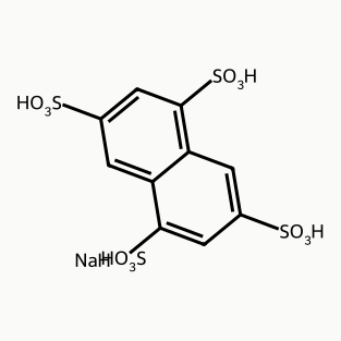 O=S(=O)(O)c1cc(S(=O)(=O)O)c2cc(S(=O)(=O)O)cc(S(=O)(=O)O)c2c1.[NaH]